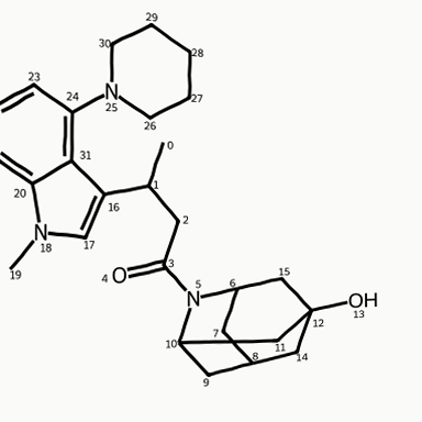 CC(CC(=O)N1C2CC3CC1CC(O)(C3)C2)c1cn(C)c2cccc(N3CCCCC3)c12